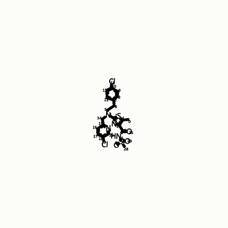 Cc1sc(N(CCc2ccc(Cl)cc2)Cc2ccc(Cl)cn2)nc1C(=O)NS(C)(=O)=O